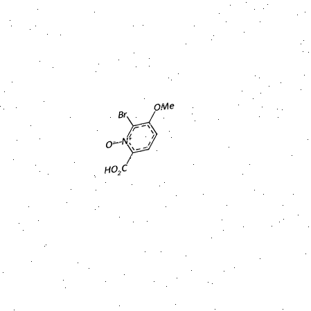 COc1ccc(C(=O)O)[n+]([O-])c1Br